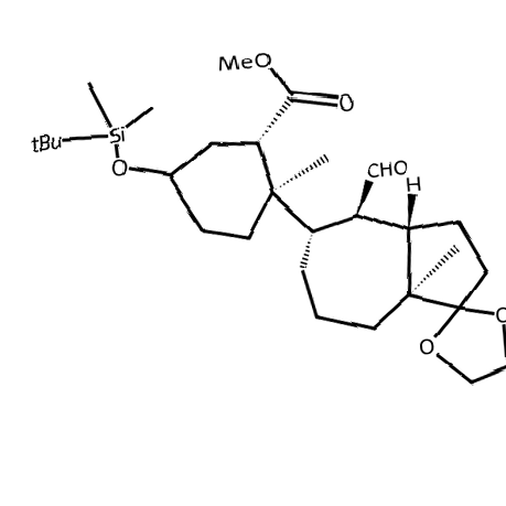 COC(=O)[C@H]1CC(O[Si](C)(C)C(C)(C)C)CC[C@]1(C)[C@H]1CCC[C@@]2(C)[C@@H](CCC23OCCO3)[C@@H]1C=O